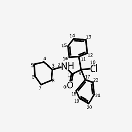 O=C(NC1CCCCC1)C(Cl)(c1ccccc1)c1ccccc1